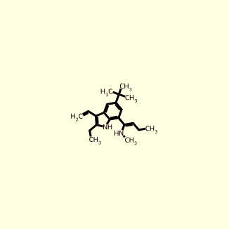 C=Cc1c(CC)[nH]c2c(/C(=C/CC)NC)cc(C(C)(C)C)cc12